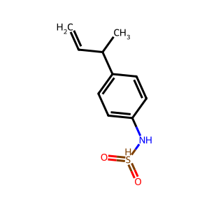 C=CC(C)c1ccc(N[SH](=O)=O)cc1